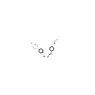 C=C(/N=C\C=C(/N)c1ccc(NC(=O)CCOC)cc1)Nc1ccc(N2CCN(CC)CC2)cc1